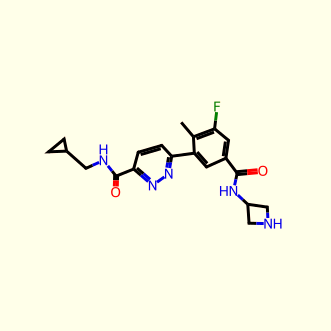 Cc1c(F)cc(C(=O)NC2CNC2)cc1-c1ccc(C(=O)NCC2CC2)nn1